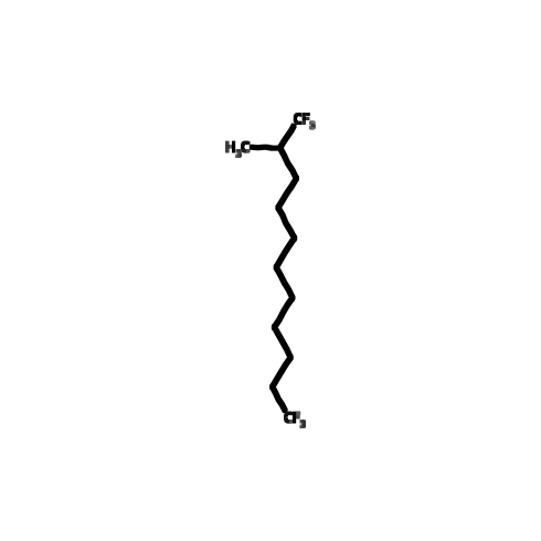 CC(CCCCCCCCC(F)(F)F)C(F)(F)F